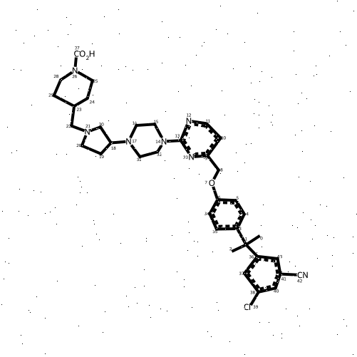 CC(C)(c1ccc(OCc2ccnc(N3CCN(C4CCN(CC5CCN(C(=O)O)CC5)C4)CC3)n2)cc1)c1cc(Cl)cc(C#N)c1